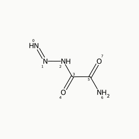 N=NNC(=O)C(N)=O